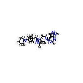 Cc1nc(N2CCc3c(c(C)nn3CC34CCC(N5CCCCC5)(CC3)CC4)C2)c2cnn(C)c2n1